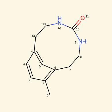 Cc1ccc2cc1CCNC(=O)NCC2